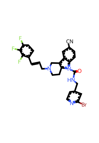 N#Cc1ccc2c(c1)c1c(n2C(=O)NCc2ccnc(Br)c2)CCN(CC=Cc2ccc(F)c(F)c2F)C1